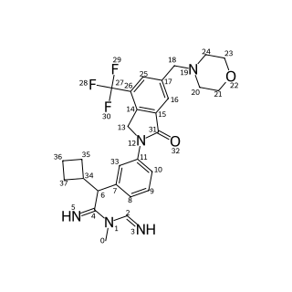 CN(C=N)C(=N)C(c1cccc(N2Cc3c(cc(CN4CCOCC4)cc3C(F)(F)F)C2=O)c1)C1CCC1